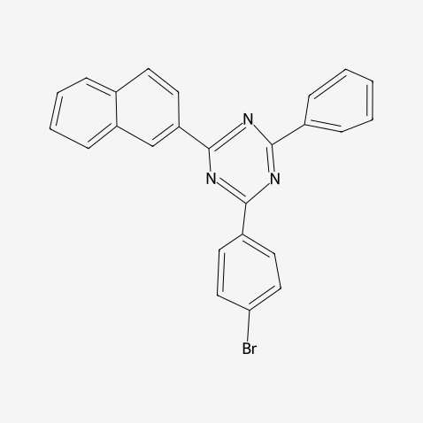 Brc1ccc(-c2nc(-c3ccccc3)nc(-c3ccc4ccccc4c3)n2)cc1